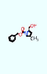 C[C@@H]1C[C@H](CO)N(C(=O)OCc2ccccc2)C1